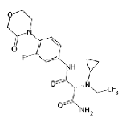 NC(=O)[C@H](C(=O)Nc1ccc(N2CCOCC2=O)c(F)c1)N(CC(F)(F)F)C1CC1